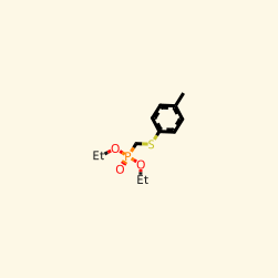 CCOP(=O)(CSc1ccc(C)cc1)OCC